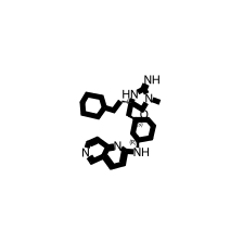 CN1C(=N)N[C@](CCC2CCCCC2)(C[C@H]2CCC[C@@H](Nc3ccc4cnccc4n3)C2)C1=O